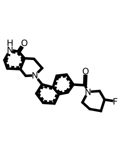 O=C(c1ccc2c(N3CCc4c(cc[nH]c4=O)C3)cccc2c1)N1CCCC(F)C1